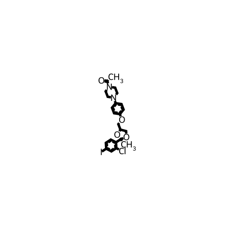 CC(=O)N1CCN(c2ccc(OCC3COC(C)(c4ccc(I)cc4Cl)O3)cc2)CC1